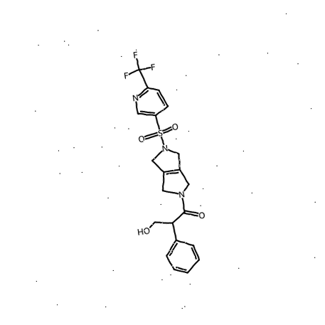 O=C(C(CO)c1ccccc1)N1CC2=C(C1)CN(S(=O)(=O)c1ccc(C(F)(F)F)nc1)C2